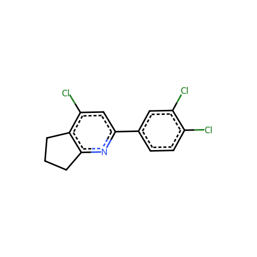 Clc1ccc(-c2cc(Cl)c3c(n2)CCC3)cc1Cl